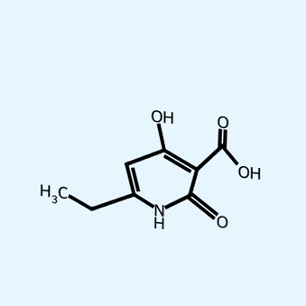 CCc1cc(O)c(C(=O)O)c(=O)[nH]1